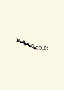 CCOC(=O)COCC/C=C/CBr